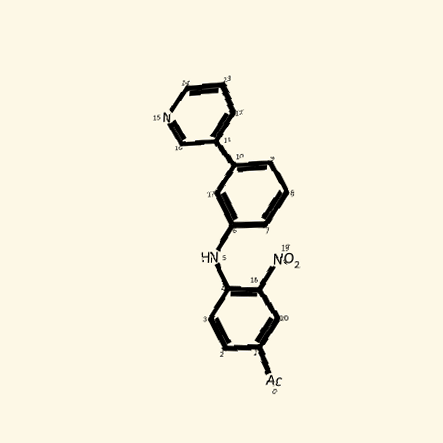 CC(=O)c1ccc(Nc2cccc(-c3cccnc3)c2)c([N+](=O)[O-])c1